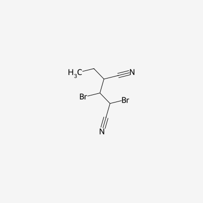 CCC(C#N)C(Br)C(Br)C#N